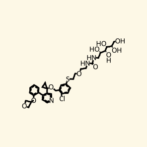 O=C(NCCOCCSc1ccc(Cl)c(COC2(c3cnccc3-c3ccccc3OC3COC3)CC2)c1)NC[C@H](O)[C@@H](O)[C@H](O)[C@H](O)CO